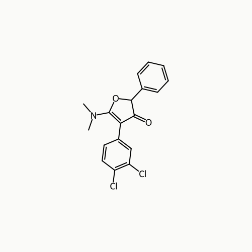 CN(C)C1=C(c2ccc(Cl)c(Cl)c2)C(=O)C(c2ccccc2)O1